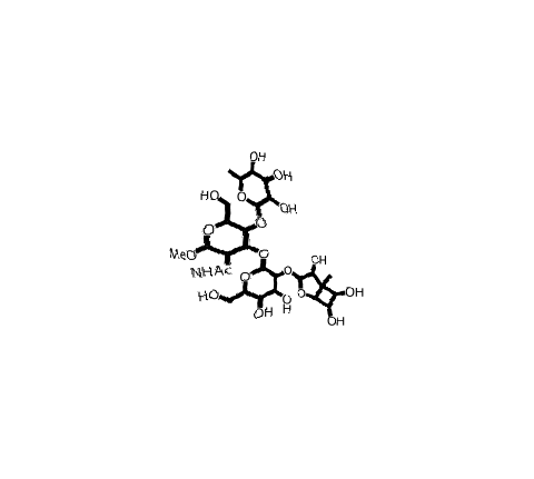 COC1OC(CO)C(OC2OC(C)C(O)C(O)C2O)C(OC2OC(CO)C(O)C(O)C2OC2OC3C(O)C(O)C3(C)C2O)C1NC(C)=O